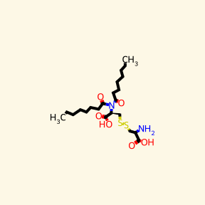 CCCCCCCC(=O)N(C(=O)CCCCCCC)[C@@H](CSSCC(N)C(=O)O)C(=O)O